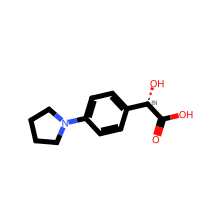 O=C(O)[C@@H](O)c1ccc(N2CCCC2)cc1